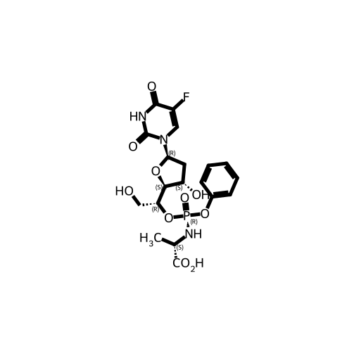 C[C@H](N[P@](=O)(Oc1ccccc1)O[C@H](CO)[C@H]1O[C@@H](n2cc(F)c(=O)[nH]c2=O)C[C@@H]1O)C(=O)O